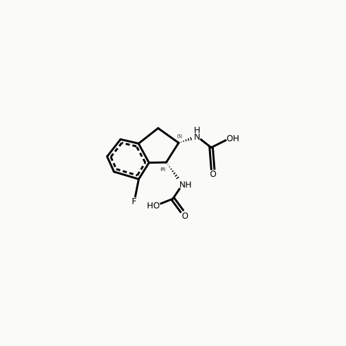 O=C(O)N[C@H]1Cc2cccc(F)c2[C@H]1NC(=O)O